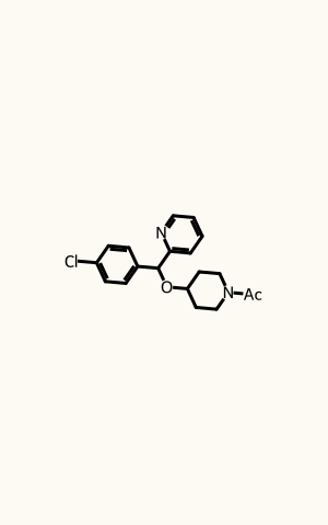 CC(=O)N1CCC(OC(c2ccc(Cl)cc2)c2ccccn2)CC1